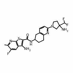 Cc1nc2sc(C(=O)NC3CCc4nc(N5CCC(N)(C(F)F)C5)ccc4C3)c(N)c2cc1F